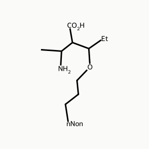 CCCCCCCCCCCCOC(CC)C(C(=O)O)C(C)N